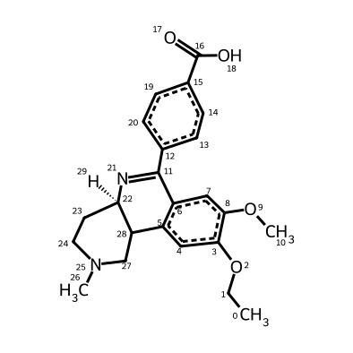 CCOc1cc2c(cc1OC)C(c1ccc(C(=O)O)cc1)=N[C@@H]1CCN(C)CC21